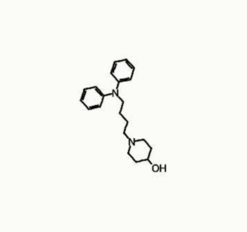 OC1CCN(CCCCN(c2ccccc2)c2ccccc2)CC1